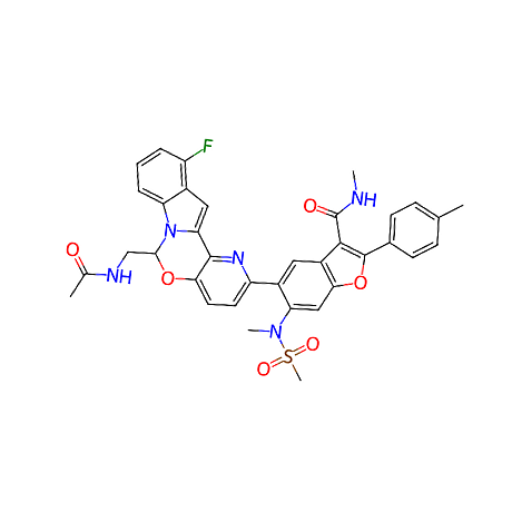 CNC(=O)c1c(-c2ccc(C)cc2)oc2cc(N(C)S(C)(=O)=O)c(-c3ccc4c(n3)-c3cc5c(F)cccc5n3C(CNC(C)=O)O4)cc12